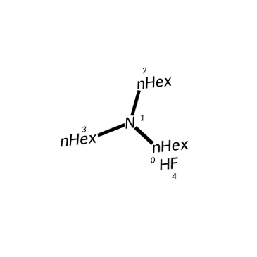 CCCCCCN(CCCCCC)CCCCCC.F